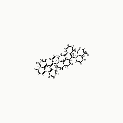 Cc1cccc2c(-c3c4ccccc4c4nc5ccc6c(-c7cccc8c(C)cccc78)c7ccccc7c7nc8ccc3c4c8c5c67)cccc12